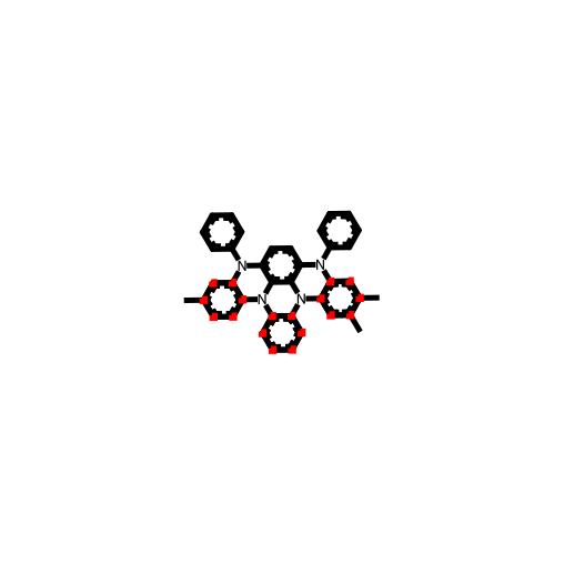 Cc1ccc(N(c2ccccc2)c2ccc(N(c3ccccc3)c3ccccc3)c(N(c3ccccc3)c3ccc(C)cc3)c2N(c2ccccc2)c2ccc(C)cc2)cc1